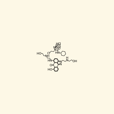 Cl.Cl.O.O=C1c2c(O)cccc2-c2nn(CCNCCO)c3ccc(NCCNCCO)c1c23.O=NN(CCCl)C(=O)NC1CCCCC1